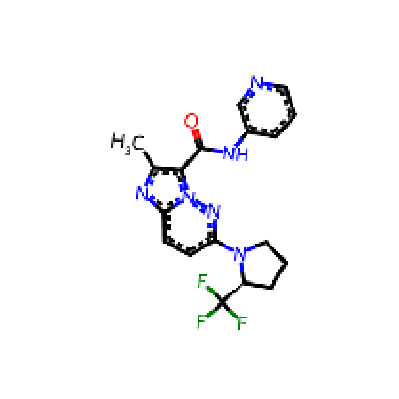 Cc1nc2ccc(N3CCC[C@H]3C(F)(F)F)nn2c1C(=O)Nc1cccnc1